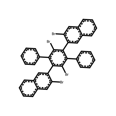 Brc1cc2ccccc2cc1-c1c(Br)c(-c2ccccc2)c(-c2cc3ccccc3cc2Br)c(Br)c1-c1ccccc1